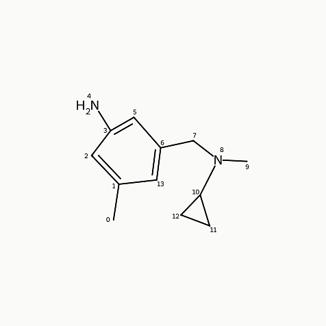 Cc1cc(N)cc(CN(C)C2CC2)c1